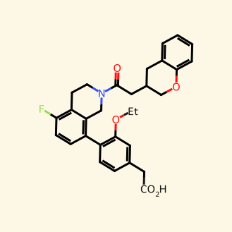 CCOc1cc(CC(=O)O)ccc1-c1ccc(F)c2c1CN(C(=O)CC1COc3ccccc3C1)CC2